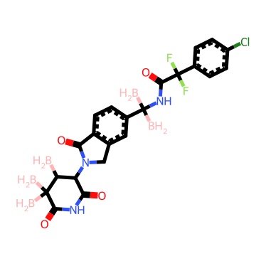 BC1C(N2Cc3cc(C(B)(B)NC(=O)C(F)(F)c4ccc(Cl)cc4)ccc3C2=O)C(=O)NC(=O)C1(B)B